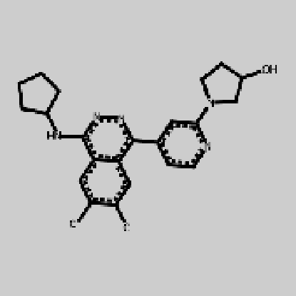 OC1CCN(c2cc(-c3nnc(NC4CCCC4)c4cc(Cl)c(Cl)cc34)ccn2)C1